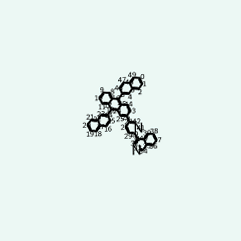 c1ccc2cc(-c3c4ccccc4c(-c4ccc5ccccc5c4)c4cc(-c5ccc(-c6cncc7ccccc67)nc5)ccc34)ccc2c1